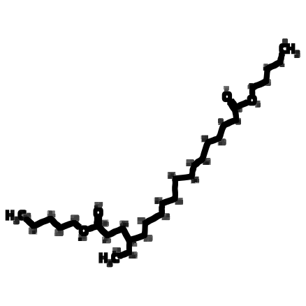 CCCCCOC(=O)CCCCCCCCCCCCCC(CC)CCC(=O)OCCCCC